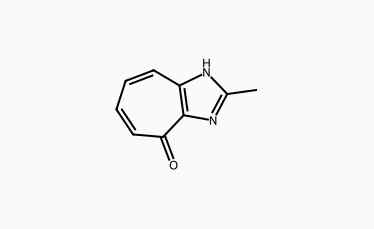 Cc1nc2c(=O)ccccc2[nH]1